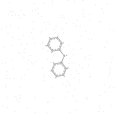 c1cc[c]([V][c]2ccccc2)cc1